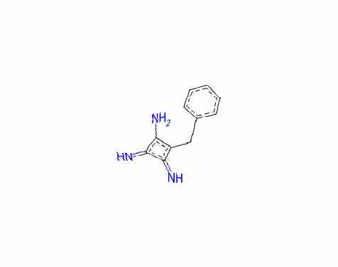 N=c1c(N)c(Cc2ccccc2)c1=N